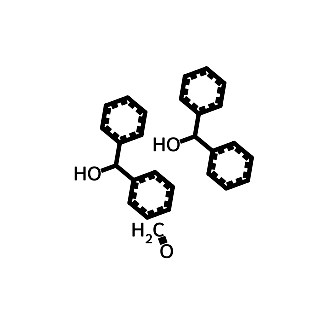 C=O.OC(c1ccccc1)c1ccccc1.OC(c1ccccc1)c1ccccc1